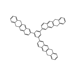 c1ccc2c(c1)Cc1cc3ccc(-c4cc(-c5ccc6cc7c(cc6c5)Cc5ccccc5C7)cc(-c5ccc6cc7c(cc6c5)Cc5ccccc5C7)c4)cc3cc1C2